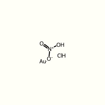 Cl.O=[N+]([O-])O.[Au]